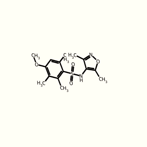 COc1cc(C)c(S(=O)(=O)Nc2c(C)noc2C)c(C)c1C